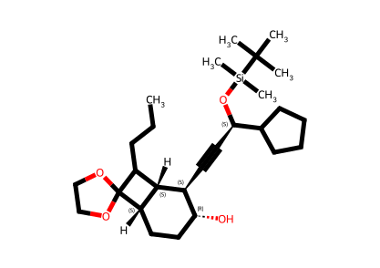 CCCC1[C@@H]2[C@@H](C#C[C@@H](O[Si](C)(C)C(C)(C)C)C3CCCC3)[C@H](O)CC[C@@H]2C12OCCO2